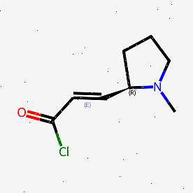 CN1CCC[C@@H]1/C=C/C(=O)Cl